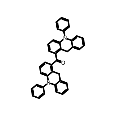 O=C(c1cccc2c1Cc1ccccc1N2c1ccccc1)c1cccc2c1Cc1ccccc1N2c1ccccc1